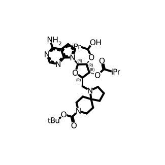 CC(C)C(=O)O[C@H]1[C@@H](OC(O)C(C)C)[C@H](n2ccc3c(N)ncnc32)O[C@@H]1CN1CCCC12CCN(C(=O)OC(C)(C)C)CC2